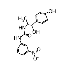 CC(NC(=O)Nc1cccc([N+](=O)[O-])c1)C(O)c1ccc(O)cc1